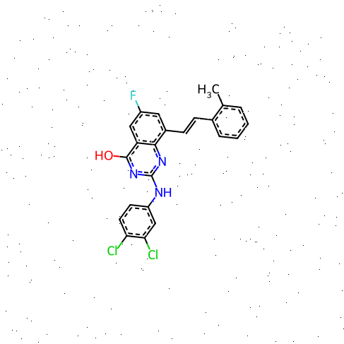 Cc1ccccc1C=Cc1cc(F)cc2c(O)nc(Nc3ccc(Cl)c(Cl)c3)nc12